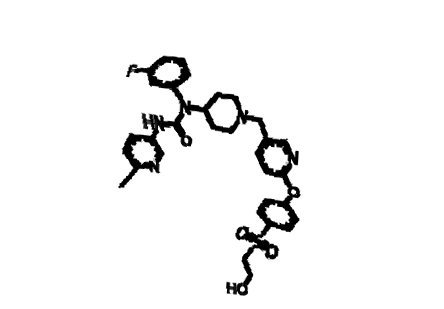 Cc1ccc(NC(=O)N(c2cccc(F)c2)C2CCN(Cc3ccc(Oc4ccc(S(=O)(=O)CCO)cc4)nc3)CC2)cn1